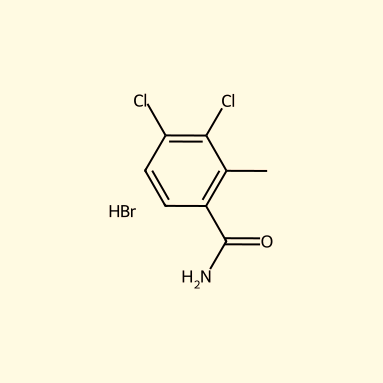 Br.Cc1c(C(N)=O)ccc(Cl)c1Cl